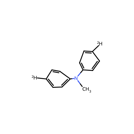 [2H]c1ccc(N(C)c2ccc([2H])cc2)cc1